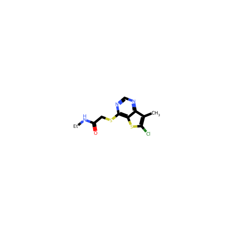 CCNC(=O)CSc1ncnc2c(C)c(Cl)sc12